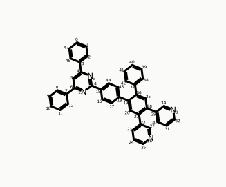 c1ccc(-c2cc(-c3ccccc3)nc(-c3ccc(-c4cc(-c5cccnc5)c(-c5cccnc5)cc4-c4ccccc4)cc3)n2)cc1